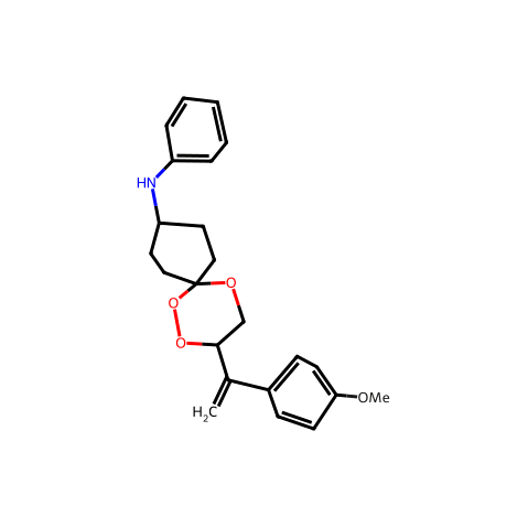 C=C(c1ccc(OC)cc1)C1COC2(CCC(Nc3ccccc3)CC2)OO1